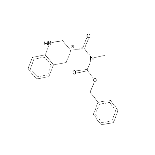 CN(C(=O)OCc1ccccc1)C(=O)[C@H]1CNc2ccccc2C1